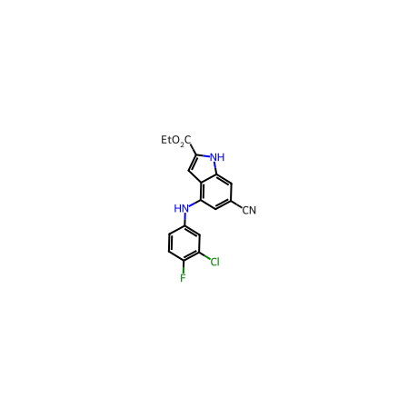 CCOC(=O)c1cc2c(Nc3ccc(F)c(Cl)c3)cc(C#N)cc2[nH]1